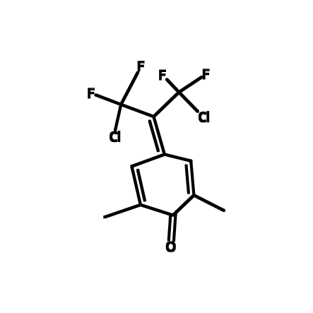 CC1=CC(=C(C(F)(F)Cl)C(F)(F)Cl)C=C(C)C1=O